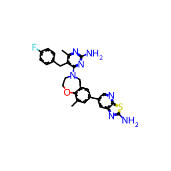 Cc1cc(-c2cnc3sc(N)nc3c2)cc2c1OCCN(c1nc(N)nc(C)c1Cc1ccc(F)cc1)C2